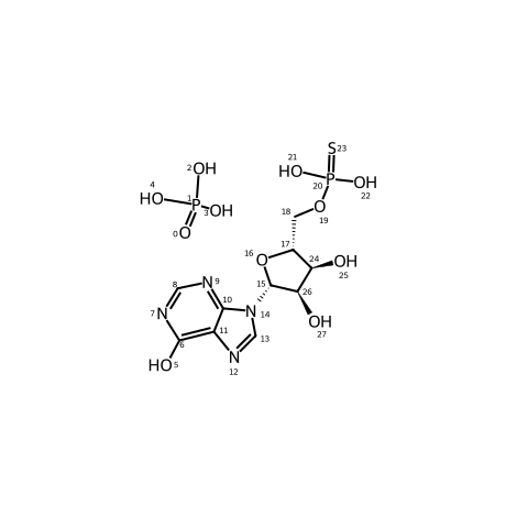 O=P(O)(O)O.Oc1ncnc2c1ncn2[C@@H]1O[C@H](COP(O)(O)=S)[C@@H](O)[C@H]1O